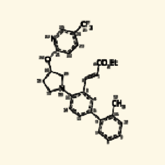 CCOC(=O)/C=C/c1cc(-c2ccccc2C)ccc1N1CCC(Oc2ccc(C(F)(F)F)cn2)C1